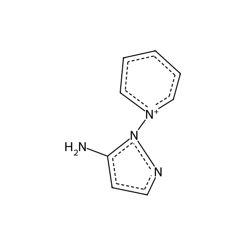 Nc1ccnn1-[n+]1ccccc1